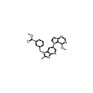 COC(=O)c1cccc(Cn2c(C)nc3ncc(-n4ccc5ncnc(OC)c54)cc32)c1